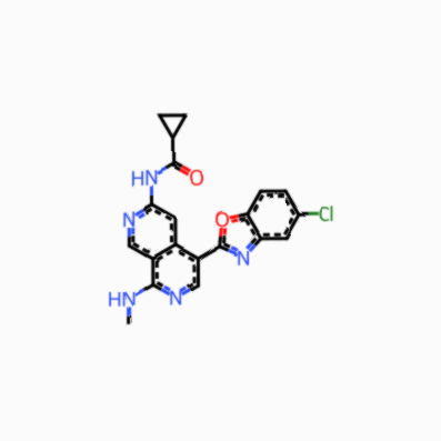 CNc1ncc(-c2nc3cc(Cl)ccc3o2)c2cc(NC(=O)C3CC3)ncc12